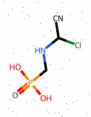 N#CC(Cl)NCP(=O)(O)O